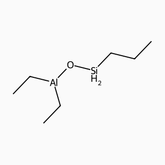 CCC[SiH2][O][Al]([CH2]C)[CH2]C